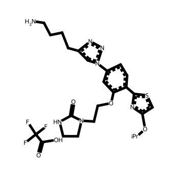 CC(C)Oc1csc(-c2ccc(-n3cc(CCCCN)nn3)cc2OCCN2CCNC2=O)n1.O=C(O)C(F)(F)F